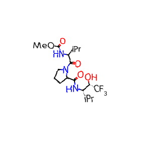 COC(=O)NC(C(=O)N1CCCC1C(=O)N[C@@H](C(C)C)[C@H](O)C(F)(F)F)C(C)C